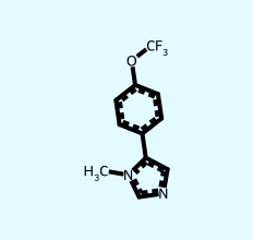 Cn1cncc1-c1ccc(OC(F)(F)F)cc1